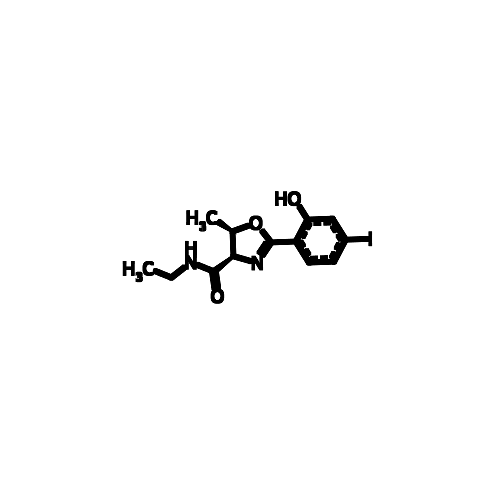 CCNC(=O)[C@@H]1N=C(c2ccc(I)cc2O)O[C@@H]1C